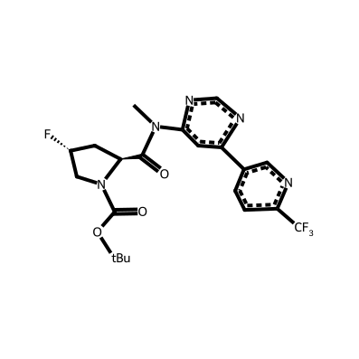 CN(C(=O)[C@@H]1C[C@@H](F)CN1C(=O)OC(C)(C)C)c1cc(-c2ccc(C(F)(F)F)nc2)ncn1